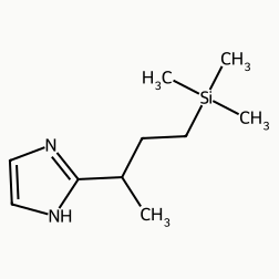 CC(CC[Si](C)(C)C)c1ncc[nH]1